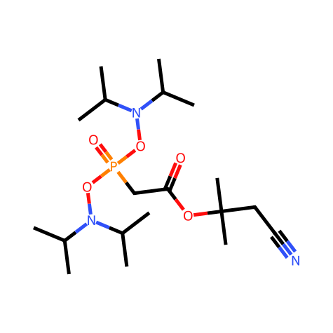 CC(C)N(OP(=O)(CC(=O)OC(C)(C)CC#N)ON(C(C)C)C(C)C)C(C)C